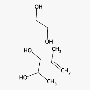 C=CC.CC(O)CO.OCCO